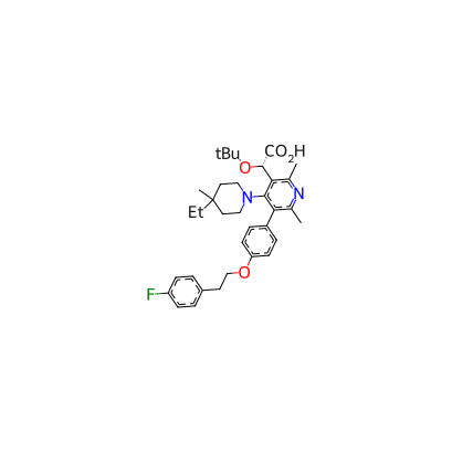 CCC1(C)CCN(c2c(-c3ccc(OCCc4ccc(F)cc4)cc3)c(C)nc(C)c2[C@H](OC(C)(C)C)C(=O)O)CC1